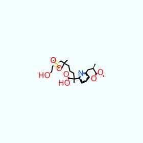 COC(=O)[C@H](C)Cc1cccc(C(C)(CCCC(C)(C)CS(=O)(=O)CCO)C(=O)O)n1